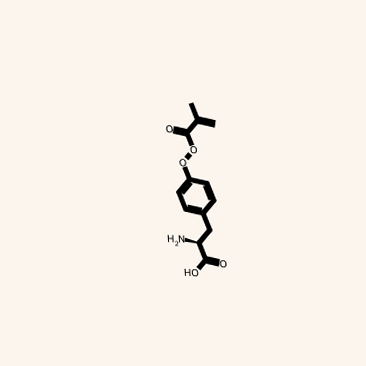 C=C(C)C(=O)OOc1ccc(C[C@H](N)C(=O)O)cc1